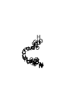 O=C1CCC(N2C(=O)c3ccc(N4CCC(CN5CCC(CN6CCN(c7cccc(S(=O)(=O)Nc8noc9cc(Cn%10cccn%10)c%10c(c89)OCC%10)c7)CC6)CC5)CC4)cc3C2=O)C(=O)N1